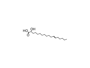 CCCCCC=CCCCCCCCCCC(O)C(=O)O